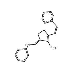 Cl.ClC1=C(/C=N\c2ccccc2)CC/C1=C\Nc1ccccc1